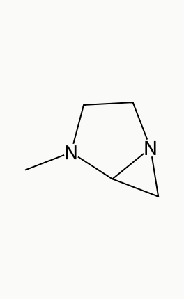 CN1CCN2CC12